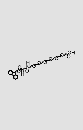 O=C(O)CCOCCOCCOCCOCCOCCOCCNC(=O)CNC(=O)OCC1c2ccccc2-c2ccccc21